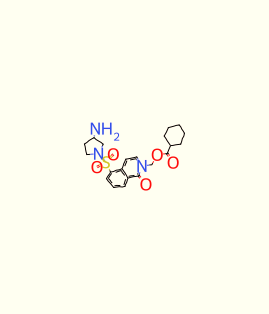 N[C@H]1CCN(S(=O)(=O)c2cccc3c(=O)n(COC(=O)C4CCCCC4)ccc23)C1